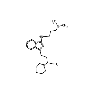 CC(CCn1nc(NCCCN(C)C)c2ccccc21)N1CCCCC1